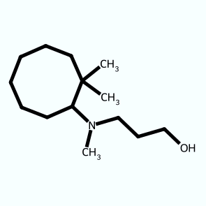 CN(CCCO)C1CCCCCCC1(C)C